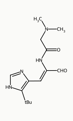 CN(C)CC(=O)N/C(C=O)=C\c1nc[nH]c1C(C)(C)C